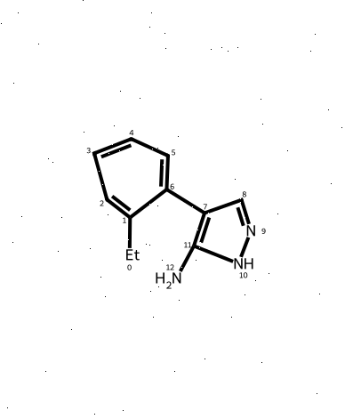 CCc1ccccc1-c1cn[nH]c1N